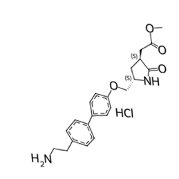 COC(=O)C[C@@H]1C[C@@H](COc2ccc(-c3ccc(CCN)cc3)cc2)NC1=O.Cl